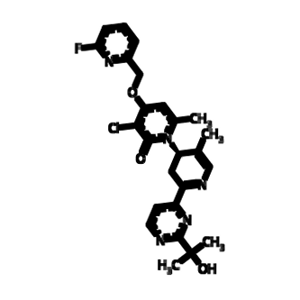 CC1=CN=C(c2ccnc(C(C)(C)O)n2)C[C@H]1n1c(C)cc(OCc2cccc(F)n2)c(Cl)c1=O